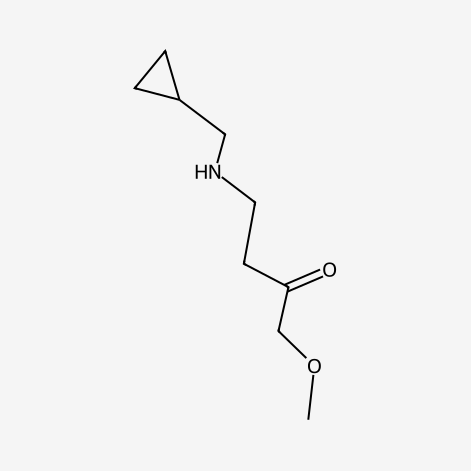 COCC(=O)CCNCC1CC1